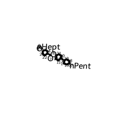 CCCCCCCOc1ccc(C(=O)Oc2ccc(-c3ccc(CCCCC)cc3)cc2)cc1